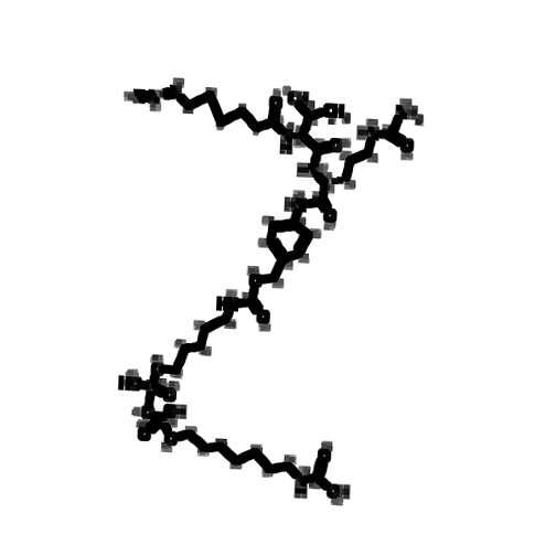 CC(C)[C@@H](NC(=O)CCCCCN=[N+]=[N-])C(=O)N[C@H](CCCNC(N)=O)C(=O)Nc1ccc(COC(=O)NCCCCCOP(=O)(O)OP(=O)(O)OCCCCCCCNC(=O)O)cc1